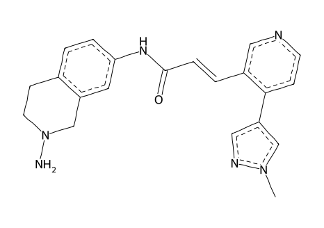 Cn1cc(-c2ccncc2/C=C/C(=O)Nc2ccc3c(c2)CN(N)CC3)cn1